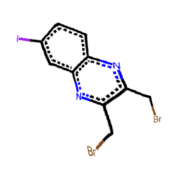 BrCc1nc2ccc(I)cc2nc1CBr